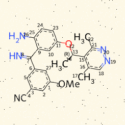 COc1cc(C#N)cc(C(=N)c2cc(O[C@H](C)c3c(C)cnnc3C)ccc2N)c1